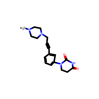 CN1CCN(CC#Cc2cccc(N3CCC(=O)NC3=O)c2)CC1